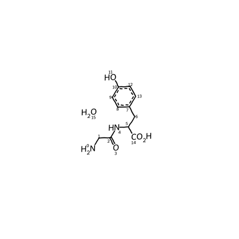 NCC(=O)NC(Cc1ccc(O)cc1)C(=O)O.O